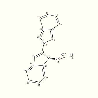 [Cl-].[Cl-].[Zr+2][C@@H]1C(n2cc3ccccc3c2)=Cc2ccccc21